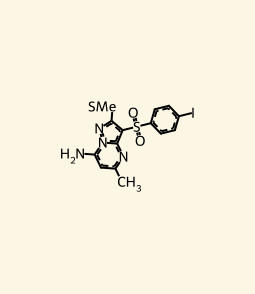 CSc1nn2c(N)cc(C)nc2c1S(=O)(=O)c1ccc(I)cc1